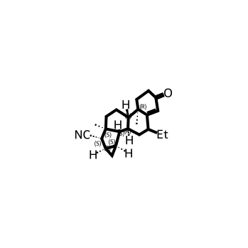 CCC1C[C@H]2[C@@H]3[C@H]4C[C@H]4[C@H](C#N)[C@@]3(C)CC[C@@H]2[C@@]2(C)CCC(=O)C=C12